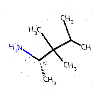 CC(C)C(C)(C)[C@H](C)N